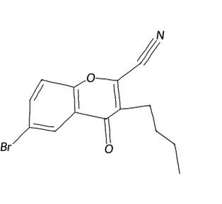 CCCCc1c(C#N)oc2ccc(Br)cc2c1=O